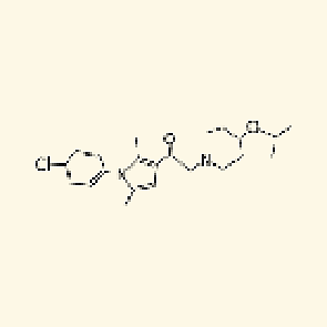 Cc1cc(C(=O)CN2CCC(OC(C)C)CC2)c(C)n1-c1ccc(Cl)cc1